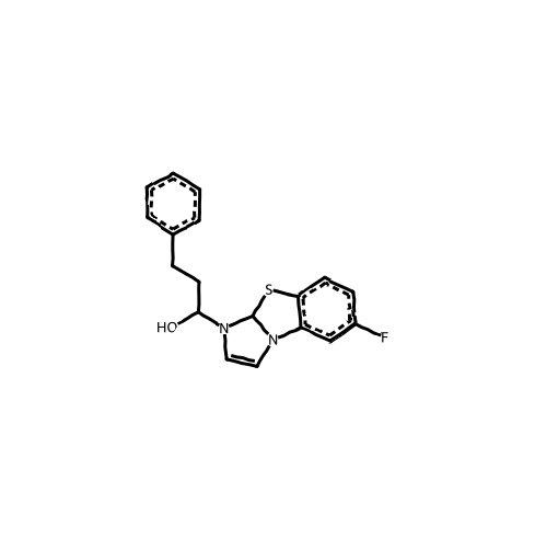 OC(CCc1ccccc1)N1C=CN2c3cc(F)ccc3SC21